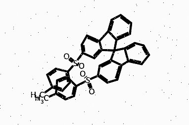 Cc1ccc(S(=O)(=O)c2ccc3c(c2)C2(c4ccccc4-3)c3ccccc3-c3ccc(S(=O)(=O)c4ccc(C)cc4)cc32)cc1